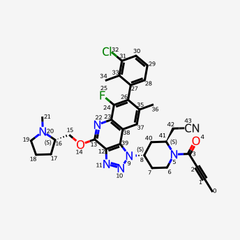 CC#CC(=O)N1CC[C@H](n2nnc3c(OC[C@@H]4CCCN4C)nc4c(F)c(-c5cccc(Cl)c5C)c(C)cc4c32)C[C@H]1CC#N